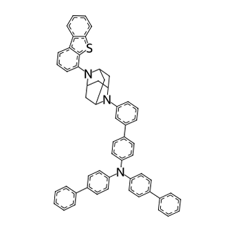 c1ccc(-c2ccc(N(c3ccc(-c4ccccc4)cc3)c3ccc(-c4cccc(N5C6CC7CC5CC(C6)N7c5cccc6c5sc5ccccc56)c4)cc3)cc2)cc1